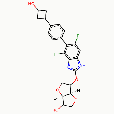 OC1CC(c2ccc(-c3c(F)cc4[nH]c(OC5CO[C@@H]6C(O)CO[C@H]56)nc4c3F)cc2)C1